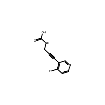 O=C(O)NCC#Cc1cnccc1Cl